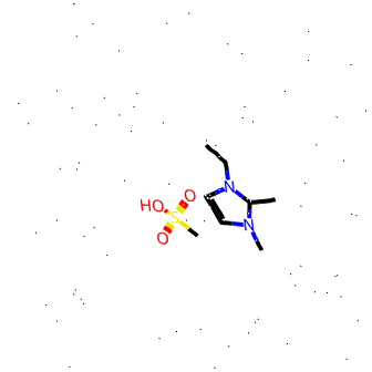 CCN1C=CN(C)C1C.CS(=O)(=O)O